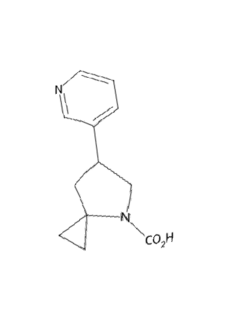 O=C(O)N1CC(c2cccnc2)CC12CC2